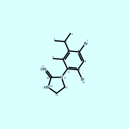 Cc1c(C(C)C)c(Br)cc(Br)c1N1CCNC1=N